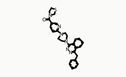 O=C(c1ccc(N2CCN(c3nnc(Cc4ccccc4)c4ccccc34)CC2)nc1)N1CCSC1